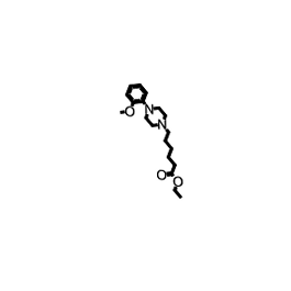 CCOC(=O)CCCCCN1CCN(c2ccccc2OC)CC1